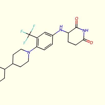 CCC(C)C1CCN(c2ccc(NC3CCC(=O)NC3=O)cc2C(F)(F)F)CC1